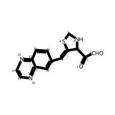 O=CC(=O)C1NCS/C1=C\c1ccc2nccnc2c1